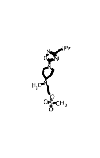 CC(C)c1noc(N2CCC(N(C)CCOS(C)(=O)=O)CC2)n1